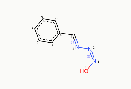 O/N=N\N=C\c1ccccc1